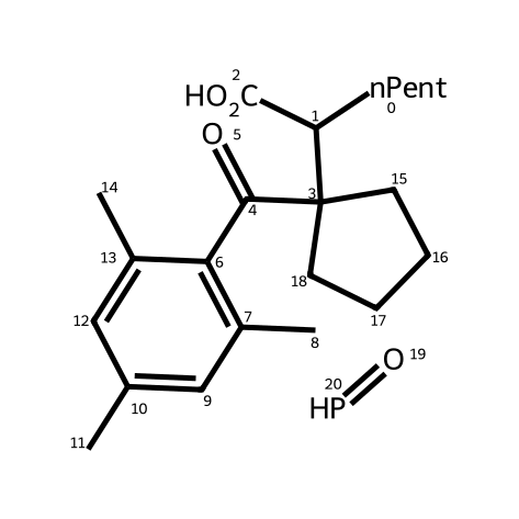 CCCCCC(C(=O)O)C1(C(=O)c2c(C)cc(C)cc2C)CCCC1.O=P